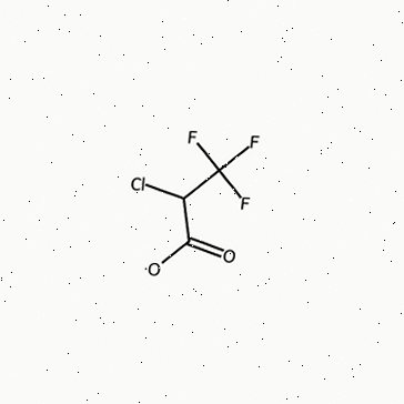 [O]C(=O)C(Cl)C(F)(F)F